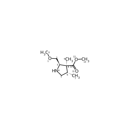 COC[C@@H]1NC[C@@H](C)[C@]1(C)C(=O)OC